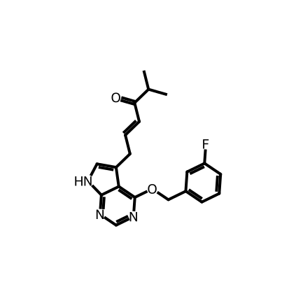 CC(C)C(=O)/C=C/Cc1c[nH]c2ncnc(OCc3cccc(F)c3)c12